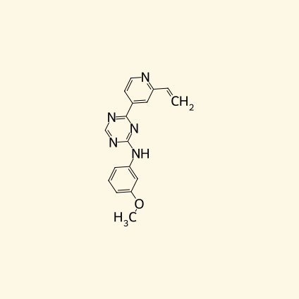 C=Cc1cc(-c2ncnc(Nc3cccc(OC)c3)n2)ccn1